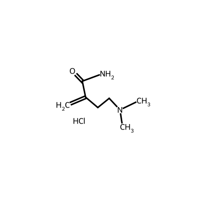 C=C(CCN(C)C)C(N)=O.Cl